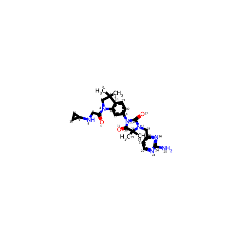 CC1(C)CN(C(=O)CNC2CC2)c2cc(N3C(=O)N(Cc4ccnc(N)n4)C(C)(C)C3=O)ccc21